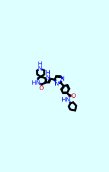 O=C(NC1CCCCC1)c1ccc(-c2nccc(-c3cc4c([nH]3)C3(CCNCC3)CNC4=O)n2)cc1